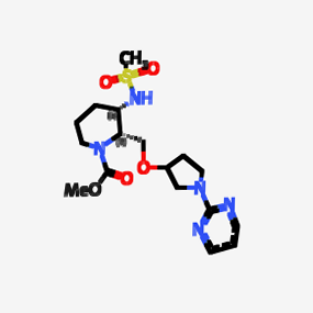 COC(=O)N1CCC[C@H](NS(C)(=O)=O)[C@@H]1COC1CCN(c2ncccn2)C1